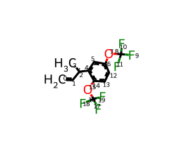 C=C[C](C)c1cc(OC(F)(F)F)ccc1OC(F)(F)F